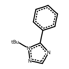 CC(C)(C)n1ncnc1-c1ccccc1